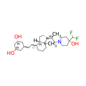 C[C@@H](CN1CCC(O)(C(F)F)CC1)[C@H]1CC[C@H]2/C(=C/C=C3C[C@@H](O)C[C@H](O)C3)CCC[C@]12C